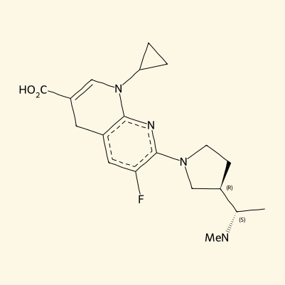 CN[C@@H](C)[C@@H]1CCN(c2nc3c(cc2F)CC(C(=O)O)=CN3C2CC2)C1